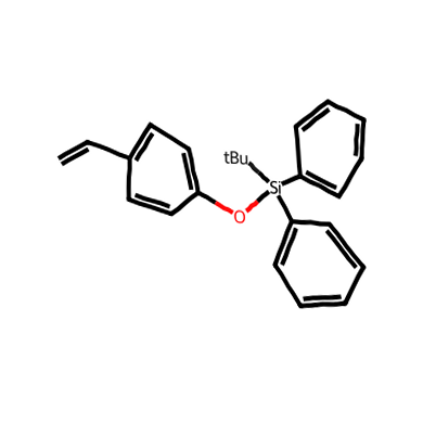 C=Cc1ccc(O[Si](c2ccccc2)(c2ccccc2)C(C)(C)C)cc1